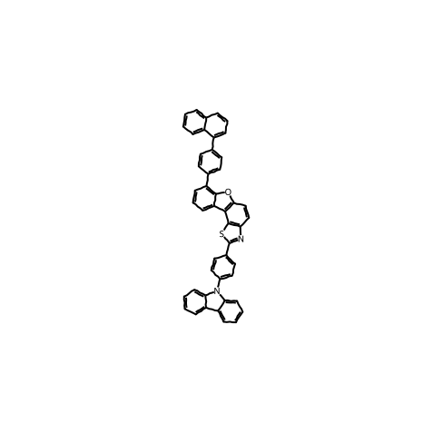 c1ccc2c(-c3ccc(-c4cccc5c4oc4ccc6nc(-c7ccc(-n8c9ccccc9c9ccccc98)cc7)sc6c45)cc3)cccc2c1